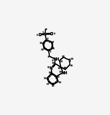 CS(=O)(=O)c1ccc(CNC2=Nc3ccccc3NC23CCSCC3)cc1